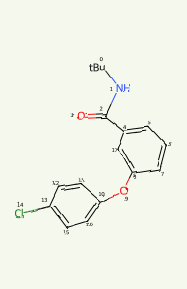 CC(C)(C)NC(=O)c1cccc(Oc2ccc(Cl)cc2)c1